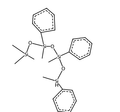 C[SiH](O[Si](C)(O[Si](C)(O[Si](C)(C)C)c1ccccc1)c1ccccc1)c1ccccc1